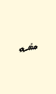 C(#CC1=CC2=C/C(=C/c3ccccc3)[SH]NC2C=C1)Cc1ccccc1